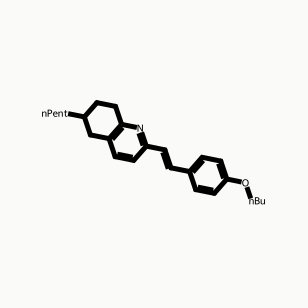 CCCCCC1CCc2nc(C=Cc3ccc(OCCCC)cc3)ccc2C1